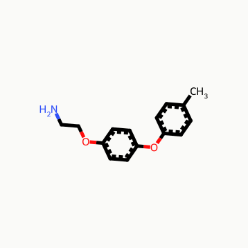 Cc1ccc(Oc2ccc(OCCN)cc2)cc1